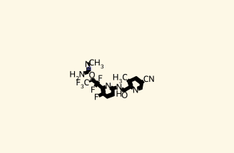 C/N=C(/N)O[C@H](C(F)(F)F)C(F)(F)c1nc(NC(=O)c2ncc(C#N)cc2C)ccc1F